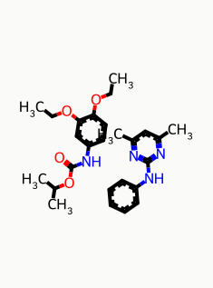 CCOc1ccc(NC(=O)OC(C)C)cc1OCC.Cc1cc(C)nc(Nc2ccccc2)n1